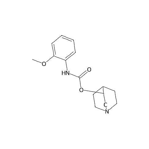 COc1ccccc1NC(=O)OC1CN2CCC1CC2